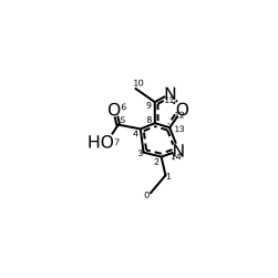 CCc1cc(C(=O)O)c2c(C)noc2n1